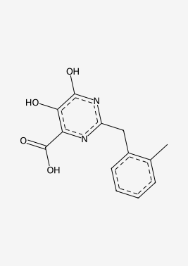 Cc1ccccc1Cc1nc(O)c(O)c(C(=O)O)n1